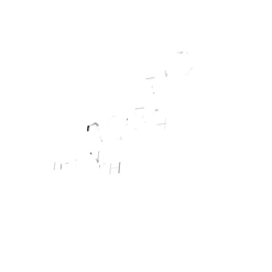 CCCN(C)C(=O)[C@H]1CC[C@H]2[C@@H]3CCc4c[c]ccc4[C@H]3CC[C@]12C